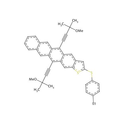 CCc1ccc(Sc2cc3cc4c(C#CC(C)(C)OC)c5cc6ccccc6cc5c(C#CC(C)(C)OC)c4cc3s2)cc1